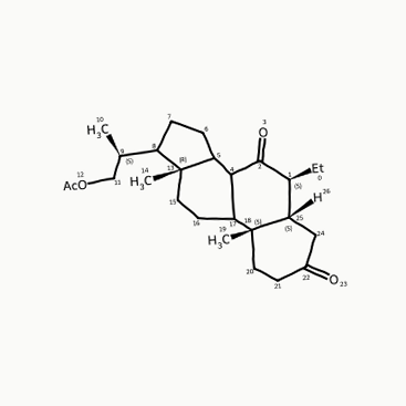 CC[C@@H]1C(=O)C2C3CCC([C@H](C)COC(C)=O)[C@@]3(C)CCC2[C@@]2(C)CCC(=O)C[C@@H]12